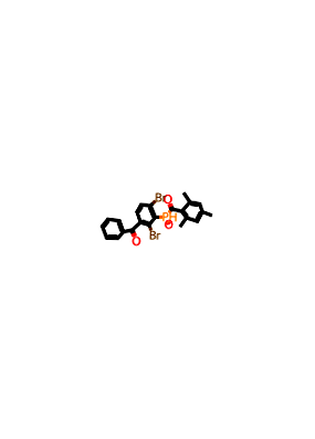 Cc1cc(C)c(C(=O)[PH](=O)c2c(Br)ccc(C(=O)c3ccccc3)c2Br)c(C)c1